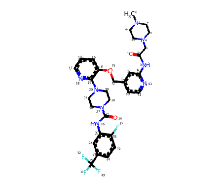 CN1CCN(CC(=O)Nc2cc(COc3cccnc3N3CCN(C(=O)Nc4cc(C(F)(F)F)ccc4F)CC3)ccn2)CC1